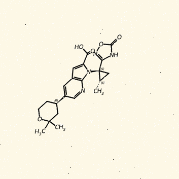 C[C@H]1C[C@]1(c1noc(=O)[nH]1)n1c(C(=O)O)cc2cc([C@@H]3CCOC(C)(C)C3)cnc21